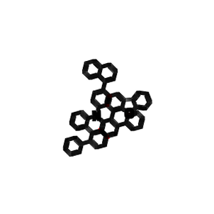 c1ccc(-c2ccccc2-c2ccccc2N(c2ccc(-c3cccc4ccccc34)cc2)c2cccc(-c3ccccc3)c2-c2cccc3c2oc2ccccc23)cc1